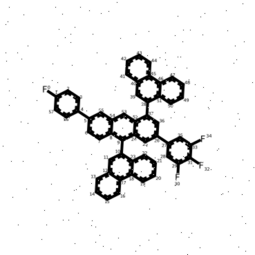 Fc1ccc(-c2ccc3c(-c4cc5ccccc5c5ccccc45)c4cc(-c5cc(F)c(F)c(F)c5)cc(-c5cc6ccccc6c6ccccc56)c4cc3c2)cc1